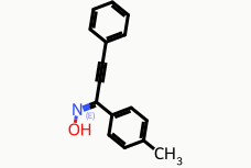 Cc1ccc(/C(C#Cc2ccccc2)=N\O)cc1